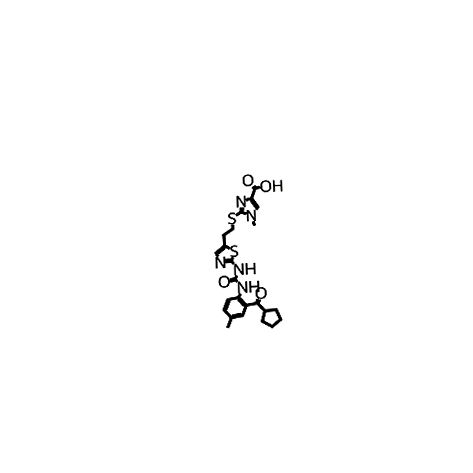 Cc1ccc(NC(=O)Nc2ncc(CCSc3nc(C(=O)O)cn3C)s2)c(C(=O)C2CCCC2)c1